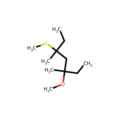 CCC(C)(CC(C)(CC)SC)OC